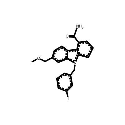 COCc1c[c]c2c3c(C(N)=O)cccc3n(Cc3cccc(I)c3)c2c1